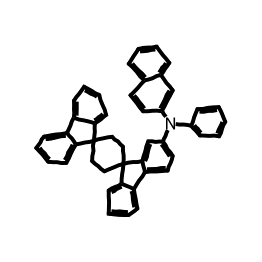 c1ccc(N(c2ccc3c(c2)C2(CCC4(CC2)c2ccccc2-c2ccccc24)c2ccccc2-3)c2ccc3ccccc3c2)cc1